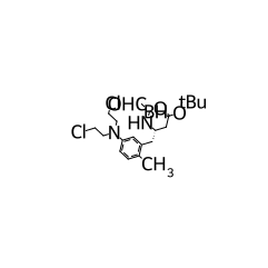 Cc1ccc(N(CCCl)CCCl)cc1C[C@@H](CC(=O)OC(C)(C)C)NBC=O